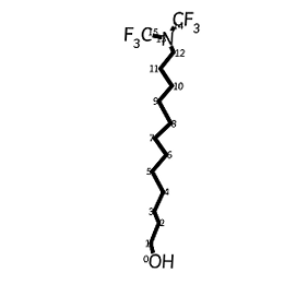 OCCCCCCCCCCCCN(C(F)(F)F)C(F)(F)F